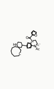 CC(=O)N1c2ccc(C3CCNC4(CCCCCCCC4)C3)cc2N(C(=O)c2ccco2)C[C@@H]1C